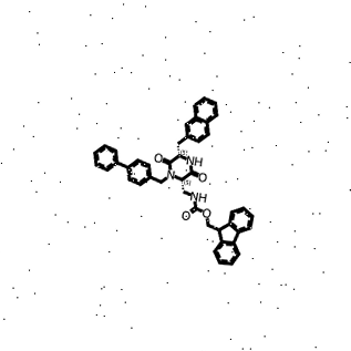 O=C(NC[C@H]1C(=O)N[C@@H](Cc2ccc3ccccc3c2)C(=O)N1Cc1ccc(-c2ccccc2)cc1)OCC1c2ccccc2-c2ccccc21